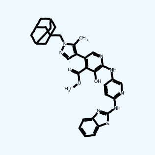 COC(=O)c1c(-c2cnn(CC34CC5CC(CC(C5)C3)C4)c2C)cnc(Nc2ccc(Nc3nc4ccccc4s3)nc2)c1O